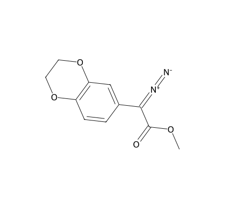 COC(=O)C(=[N+]=[N-])c1ccc2c(c1)OCCO2